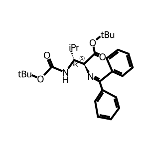 CC(C)[C@@H](NC(=O)OC(C)(C)C)[C@H](N=C(c1ccccc1)c1ccccc1)C(=O)OC(C)(C)C